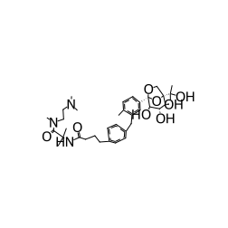 Cc1ccc([C@]23OC[C@](C(C)(C)O)(O2)[C@@H](O)[C@H](O)[C@H]3O)cc1Cc1ccc(CCCC(=O)NC(C)(C)C(=O)N(C)CCN(C)C)cc1